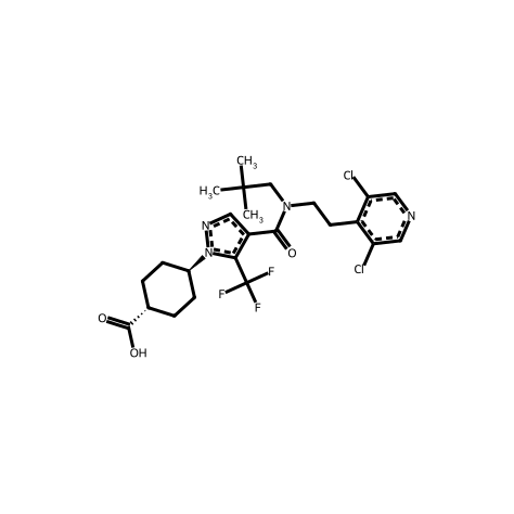 CC(C)(C)CN(CCc1c(Cl)cncc1Cl)C(=O)c1cnn([C@H]2CC[C@H](C(=O)O)CC2)c1C(F)(F)F